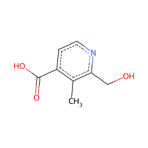 Cc1c(C(=O)O)ccnc1CO